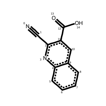 N#Cc1nc2ccccc2cc1C(=O)O